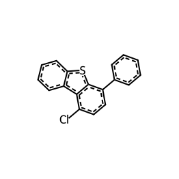 Clc1ccc(-c2ccccc2)c2sc3ccccc3c12